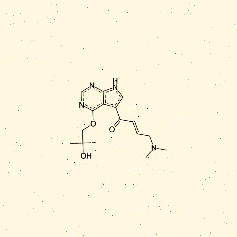 CN(C)CC=CC(=O)c1c[nH]c2ncnc(OCC(C)(C)O)c12